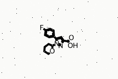 O=C(O)c1cc(-c2ccc(F)cc2)n(C2CCCCO2)n1